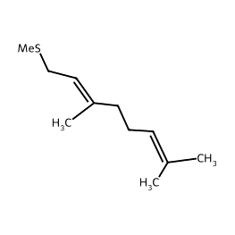 CSC/C=C(\C)CCC=C(C)C